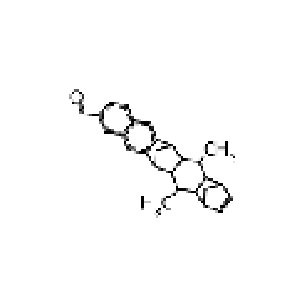 CC1C2C3C=CC(C3)C2C(C)C2C3CC(c4cc5ccc(C=O)cc5cc43)C12